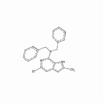 Cc1cc2cc(Cl)nc(N(Cc3ccccc3)Cc3ccccc3)c2[nH]1